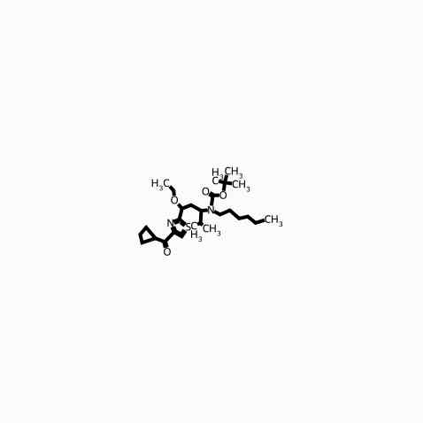 CCCCCCN(C(=O)OC(C)(C)C)C(CC(OCC)c1nc(C(=O)C2CCC2)cs1)C(C)C